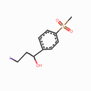 CS(=O)(=O)c1ccc(C(O)CCI)cc1